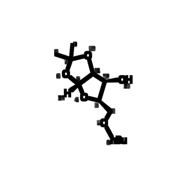 CCCCOC[C@H]1O[C@@H]2OC(C)(C)OC2[C@H]1O